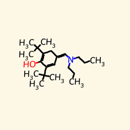 CCCN(C=C1C=C(C(C)(C)C)C(O)=C(C(C)(C)C)C1)CCC